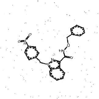 O=C(NOCc1ccccc1)c1nn(Cc2ccc([SH](=O)=O)cc2)c2ccccc12